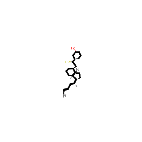 CC(C)CCC[C@@H](C)[C@H]1CC[C@H]2[C@H](C[C@@H](S)[C@@H]3CCC[C@H](O)C3)CCC[C@]12C